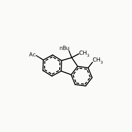 CCCCC1(C)c2cc(C(C)=O)ccc2-c2cccc(C)c21